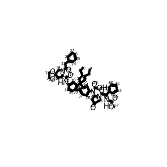 CCCCC1(CCCC)c2cc(NC(=O)[C@@H]3CC4(CN3C(=O)[CH]c3ccccc3)OCCO4)ccc2-c2ccc(N(C(=O)O)[C@H]3CC(=O)CN3C(=O)[C@H](NC(=O)OC)c3ccccc3)cc21